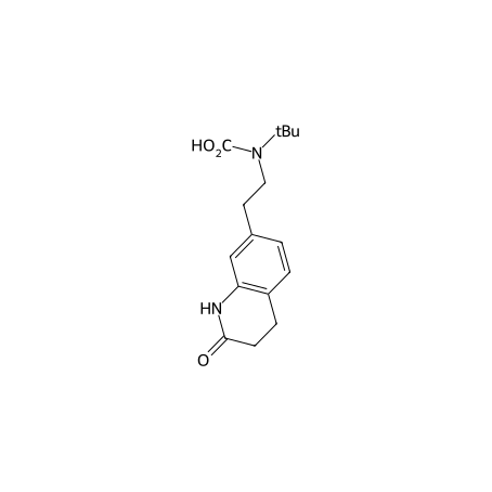 CC(C)(C)N(CCc1ccc2c(c1)NC(=O)CC2)C(=O)O